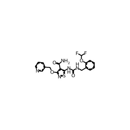 NC(=O)c1c(OCc2cccnc2)nsc1NC(=O)NCc1ccccc1OC(F)F